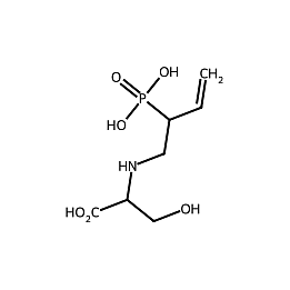 C=CC(CNC(CO)C(=O)O)P(=O)(O)O